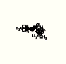 CC(C)Oc1ccc(-n2c(C(=O)O)cc3cc(-c4ccc(C(C)(C)C)cc4)ccc32)cc1[N+](=O)[O-]